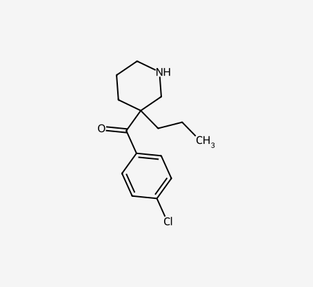 CCCC1(C(=O)c2ccc(Cl)cc2)CCCNC1